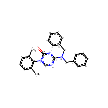 Cc1cccc(C)c1-n1cnc(N(Cc2ccccc2)Cc2ccccc2)nc1=O